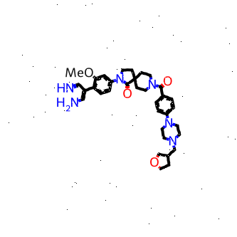 COc1cc(N2CCC3(CCN(C(=O)c4ccc(N5CCN(CC6CCOC6)CC5)cc4)CC3)C2=O)ccc1/C(C=N)=C/N